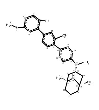 CSc1ncc(F)c(-c2ccc(-c3ncc(N(C)[C@H]4C[C@]5(C)CCC[C@](C)(C4)N5)nn3)c(O)c2)n1